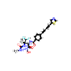 CNC(=O)NC(C)(C(F)F)[C@H](NC(=O)c1ccc(C#CC#Cc2cncs2)cc1)C(=O)NO